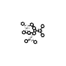 c1ccc(-c2nc(-c3ccccc3)nc(-n3c4ccccc4c4cc5c(cc43)c3c4c6ccccc6n(-c6nc(-c7ccccc7)nc(-c7ccccc7)n6)c4ccc3n5-c3nc(-c4ccccc4)nc(-c4ccccc4)n3)n2)cc1